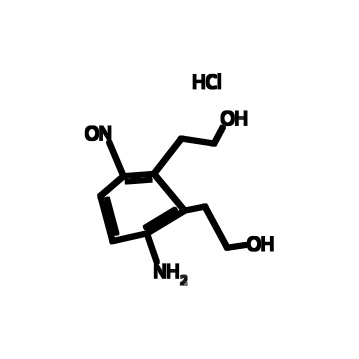 Cl.Nc1ccc(N=O)c(CCO)c1CCO